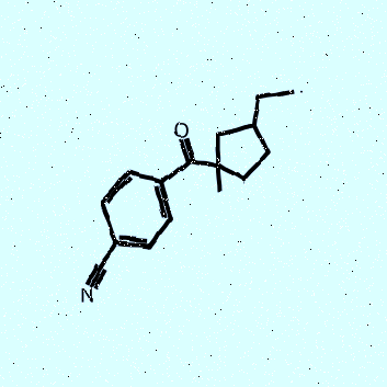 [CH2]CC1C[CH]C(C)(C(=O)c2ccc(C#N)cc2)C1